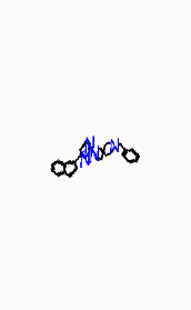 c1ccc(CN2CCC3(CC2)CCN(c2nccc(-c4ccc5ccccc5c4)n2)C3)cc1